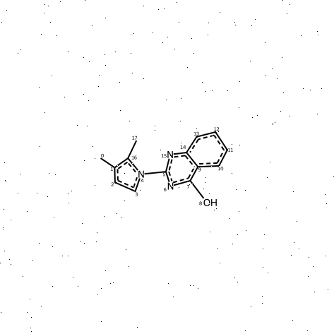 Cc1ccn(-c2nc(O)c3ccccc3n2)c1C